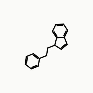 C1=Cc2ccccc2[C]1CCc1ccccc1